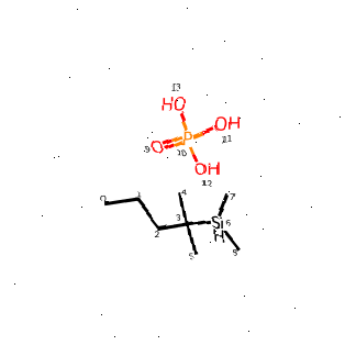 CCCC(C)(C)[SiH](C)C.O=P(O)(O)O